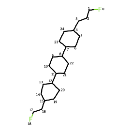 FCCCC1CCC(C2CCC(C3CCC(CCF)CC3)CC2)CC1